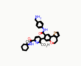 N#CC1(NC(=O)c2ccc(-c3cc4c(cc3C(=O)Nc3ccc(CN)cc3)-c3sccc3CCO4)c(C(=O)O)n2)CCCCC1